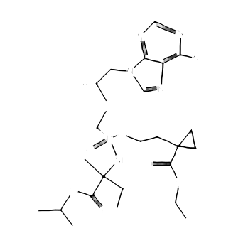 CCOC(=O)C1(CCO[P@](=O)(CO[C@H](C)Cn2cnc3c(N)ncnc32)NC(C)(CC)C(=O)OC(C)C)CC1